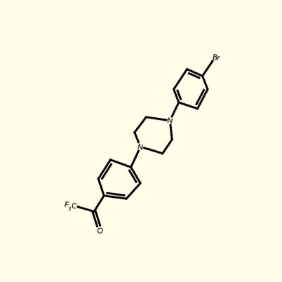 O=C(c1ccc(N2CCN(c3ccc(Br)cc3)CC2)cc1)C(F)(F)F